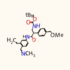 C=Cc1cc(NC(=O)C(CNC(=O)OC(C)(C)C)c2ccc(COC)cc2)ccc1/C=N\C